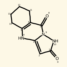 O=c1cc2[nH]c3c(c(=O)n2[nH]1)CCCC3